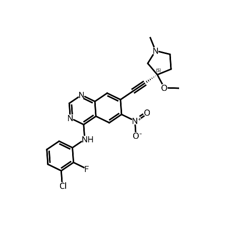 CO[C@]1(C#Cc2cc3ncnc(Nc4cccc(Cl)c4F)c3cc2[N+](=O)[O-])CCN(C)C1